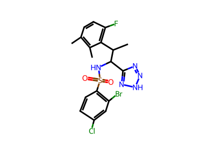 Cc1ccc(F)c(C(C)C(NS(=O)(=O)c2ccc(Cl)cc2Br)c2nn[nH]n2)c1C